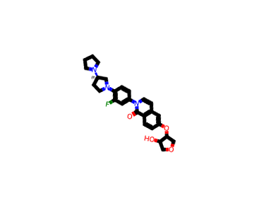 O=c1c2ccc(OC3COCC3O)cc2ccn1-c1ccc(N2CC[C@@H](N3CCCC3)C2)c(F)c1